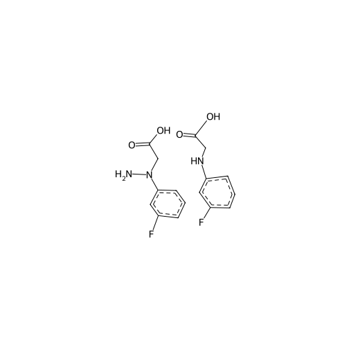 NN(CC(=O)O)c1cccc(F)c1.O=C(O)CNc1cccc(F)c1